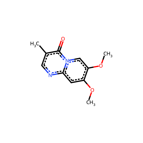 COc1cc2ncc(C)c(=O)n2cc1OC